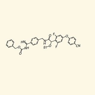 CCOC(C(=O)NCc1ccc(C(=N)NC(=O)OCc2ccccc2)cc1)c1c(F)cc(Oc2ccc(C#N)cc2)cc1F